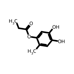 CCC(=O)Oc1cc(O)c(O)cc1C